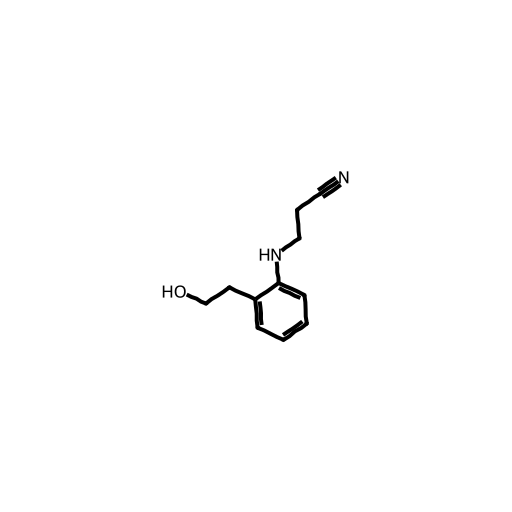 N#CCCNc1ccccc1CCO